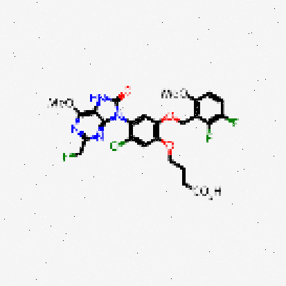 COc1ccc(F)c(F)c1COc1cc(-n2c(=O)[nH]c3c(OC)nc(CF)nc32)c(Cl)cc1OCCCC(=O)O